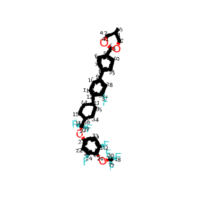 CC1COC(c2ccc(-c3ccc(C4CCC(C(F)(F)Oc5cc(F)c(OC(F)(F)F)c(F)c5)CC4)c(F)c3)cc2)OC1